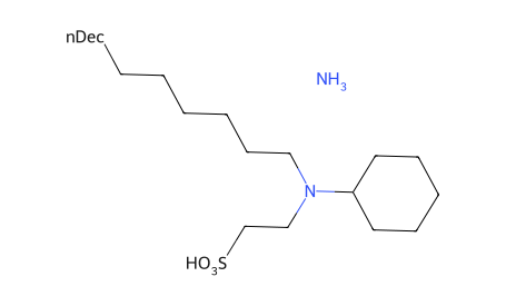 CCCCCCCCCCCCCCCCN(CCS(=O)(=O)O)C1CCCCC1.N